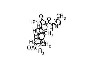 CC(=O)O[C@H]1CC[C@]2(C)[C@H]3CC[C@@H]4C5=C(C(C)C)C(=O)C[C@]5(C(=O)Nc5nccc(C)n5)CC[C@@]4(C)[C@]3(C)CC[C@H]2C1(C)C